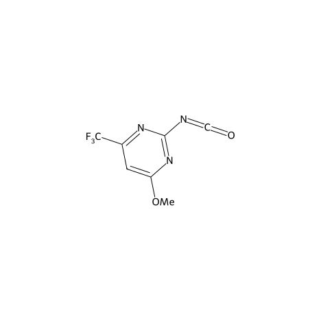 COc1cc(C(F)(F)F)nc(N=C=O)n1